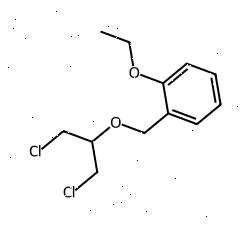 CCOc1ccccc1COC(CCl)CCl